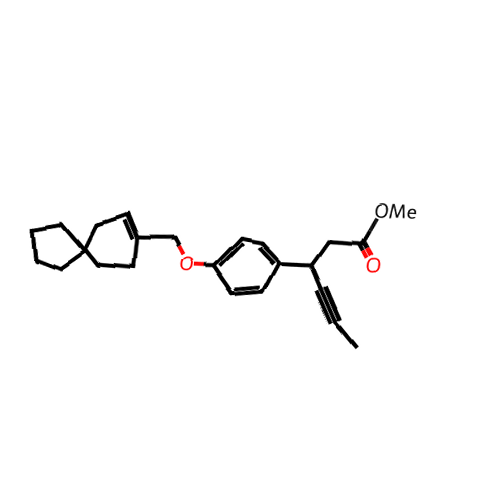 CC#CC(CC(=O)OC)c1ccc(OCC2=CCC3(CCCC3)CC2)cc1